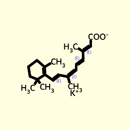 CC1=C(/C=C/C(C)=C\C=C\C(C)=C\C(=O)[O-])C(C)(C)CCC1.[K+]